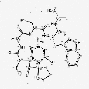 CC(C)C[C@H](NC(=O)[C@H](C)NC(=O)[C@H](CC(C)C)NC(=O)[C@]1(c2ccc([N+](=O)[O-])cc2[N+](=O)[O-])CCCN1)C(=O)N[C@@H](Cc1c[nH]c2ccccc12)C(=O)N[C@@H](C)C(=O)O